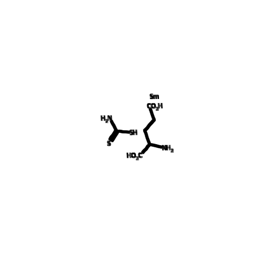 NC(=S)S.NC(CCC(=O)O)C(=O)O.[Sm]